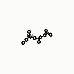 c1ccc(-c2ccc(-c3cc(-c4ccc(-n5c6ccccc6c6cc(-c7ccc8c(c7)c7ccccc7n8-c7ccccc7)ccc65)cc4)nc(-c4ccccc4)n3)cc2)cc1